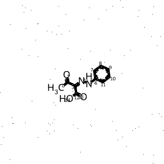 CC(=O)/C(=N/Nc1ccccc1)C(=O)O